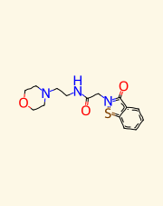 O=C(Cn1sc2ccccc2c1=O)NCCN1CCOCC1